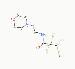 O=C(NCCN1CCOCC1)C(F)(F)C(F)F